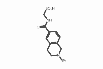 CC(C)N1CCc2cc(C(=O)NCS(=O)(=O)O)ccc2C1